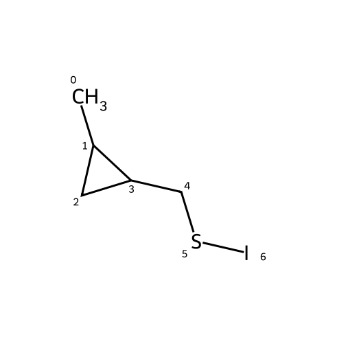 CC1CC1CSI